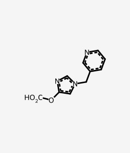 O=C(O)Oc1cn(Cc2cccnc2)cn1